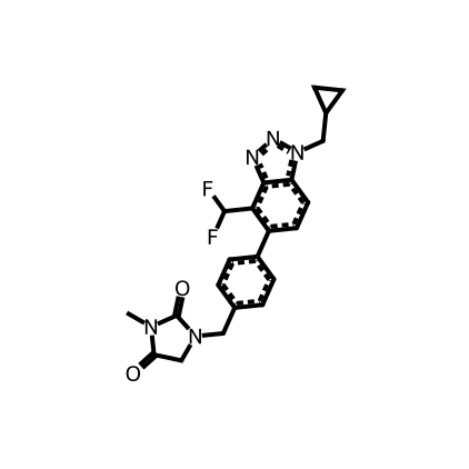 CN1C(=O)CN(Cc2ccc(-c3ccc4c(nnn4CC4CC4)c3C(F)F)cc2)C1=O